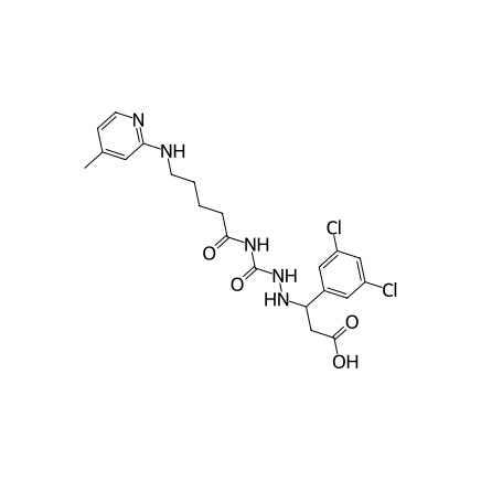 Cc1ccnc(NCCCCC(=O)NC(=O)NNC(CC(=O)O)c2cc(Cl)cc(Cl)c2)c1